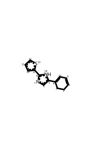 C1=CCCC(c2cnc(-c3cccs3)[nH]2)=C1